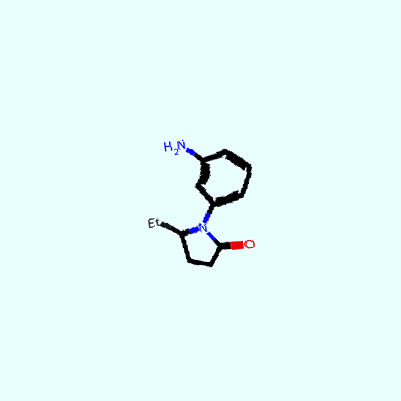 CCC1CCC(=O)N1c1cccc(N)c1